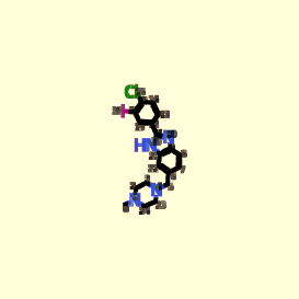 CN1CCN(Cc2ccc3nc(-c4ccc(Cl)c(I)c4)[nH]c3c2)CC1